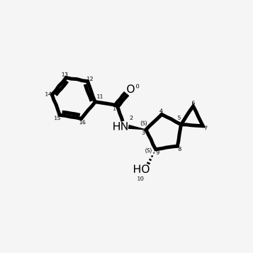 O=C(N[C@H]1CC2(CC2)C[C@@H]1O)c1ccccc1